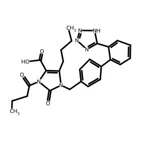 CCCCc1c(C(=O)O)n(C(=O)CCC)c(=O)n1Cc1ccc(-c2ccccc2-c2nnn[nH]2)cc1